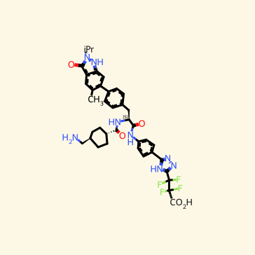 Cc1cc2c(=O)n(C(C)C)[nH]c2cc1-c1ccc(C[C@H](NC(=O)[C@H]2CC[C@H](CN)CC2)C(=O)Nc2ccc(-c3nnc(C(F)(F)C(F)(F)C(=O)O)[nH]3)cc2)cc1